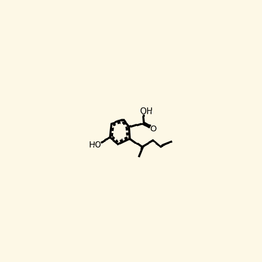 CCCC(C)c1cc(O)ccc1C(=O)O